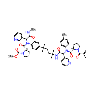 C=C(C)C(=O)N1CCC[C@H]1C(=O)N(c1ccc(C(C)(C)C)cc1)C(C(=O)NC(C)(C)CCC(C)(C)c1ccc(N(C(=O)[C@@H]2CCCN2C(=O)OC(C)(C)C)C(C(=O)NC(C)(C)C)c2cccnc2)cc1)c1cccnc1